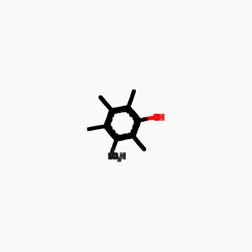 Cc1c(C)c(O)c(C)c(S(=O)(=O)O)c1C